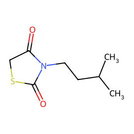 CC(C)CCN1C(=O)CSC1=O